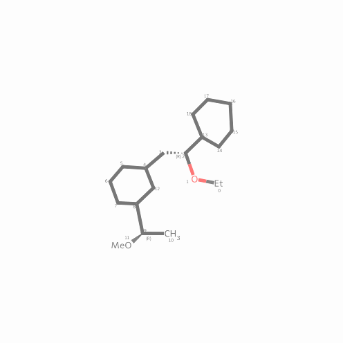 CCO[C@H](CC1CCCC([C@@H](C)OC)C1)C1CCCCC1